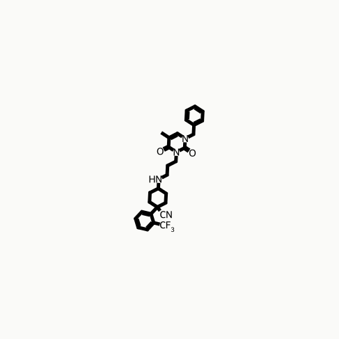 Cc1cn(Cc2ccccc2)c(=O)n(CCCNC2CCC(C#N)(c3ccccc3C(F)(F)F)CC2)c1=O